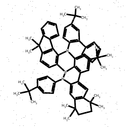 CC(C)(C)c1ccc(N2B3c4ccc5c(c4N(c4ccc(C(C)(C)C)cc4-c4ccccc4)c4cc(C(C)(C)C)cc(c43)-c3cc4c(cc32)C(C)(C)CCC4(C)C)-c2ccccc2C5(C)C)cc1